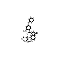 O=C(c1ccc(Oc2ccccc2)cc1Cl)c1c[nH]c2ncc3c(c12)NC1(CCCOC1)CN3